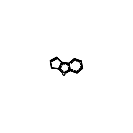 C1=Cc2c(oc3ccccc23)C1